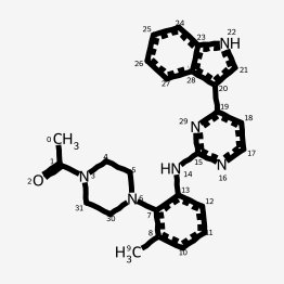 CC(=O)N1CCN(c2c(C)cccc2Nc2nccc(-c3c[nH]c4ccccc34)n2)CC1